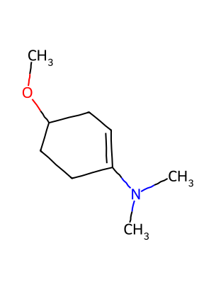 COC1CC=C(N(C)C)CC1